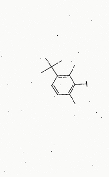 Cc1ccc(C(C)(C)C)c(C)c1I